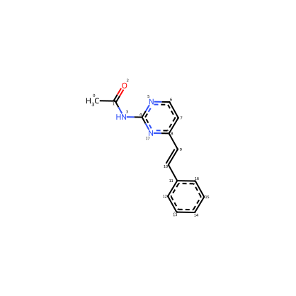 CC(=O)Nc1nccc(C=Cc2c[c]ccc2)n1